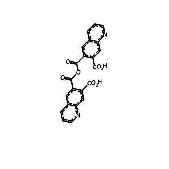 O=C(O)c1cc2ncccc2cc1C(=O)OC(=O)c1cc2cccnc2cc1C(=O)O